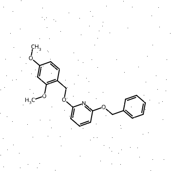 COc1ccc(COc2cccc(OCc3ccccc3)n2)c(OC)c1